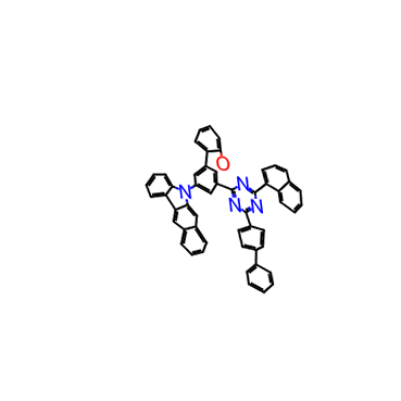 c1ccc(-c2ccc(-c3nc(-c4cccc5ccccc45)nc(-c4cc(-n5c6ccccc6c6cc7ccccc7cc65)cc5c4oc4ccccc45)n3)cc2)cc1